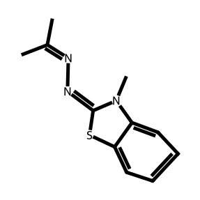 CC(C)=NN=c1sc2ccccc2n1C